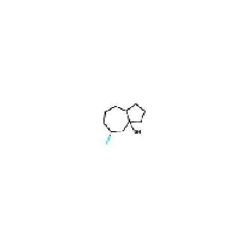 F[C@H]1CCCC2CCCC2([SiH3])C1